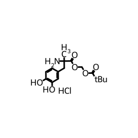 CC(C)(C)C(=O)OCOC(=O)C(C)(N)Cc1ccc(O)c(O)c1.Cl